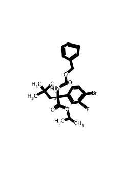 CC(C)OC(=O)[C@](CC(C)(C)C)(NC(=O)OCc1ccccc1)c1ccc(Br)c(F)c1